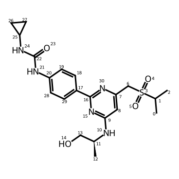 CC(C)S(=O)(=O)Cc1cc(N[C@@H](C)CO)nc(-c2ccc(NC(=O)NC3CC3)cc2)n1